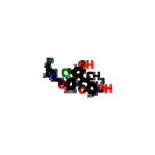 CC1=C(c2cc(O)cc(Cl)c2)[C@@H](c2ccc(OCCN3CC(CF)C3)cc2)Oc2ccc(O)cc21